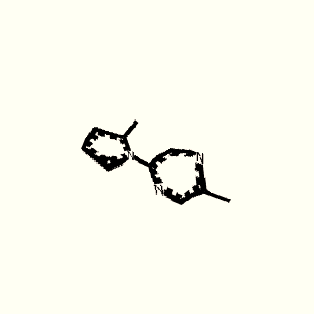 Cc1cnc(-n2cccc2C)cn1